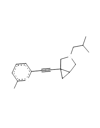 CC(C)CN1CC2CC2(C#Cc2cccc(Cl)n2)C1